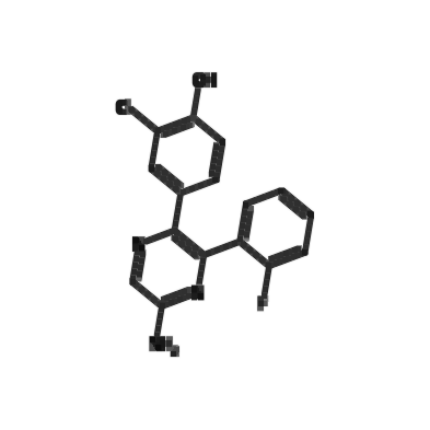 Nc1cnc(-c2ccc(O)c(Cl)c2)c(-c2ccccc2F)n1